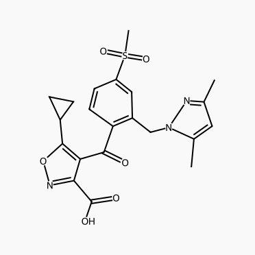 Cc1cc(C)n(Cc2cc(S(C)(=O)=O)ccc2C(=O)c2c(C(=O)O)noc2C2CC2)n1